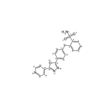 NS(=O)(=O)c1ccccc1Cc1ccc(-c2nnc(-c3ccncc3)o2)cc1